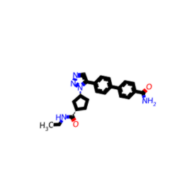 CCNC(=O)[C@H]1CC[C@@H](n2nncc2-c2ccc(-c3ccc(C(N)=O)cc3)cc2)C1